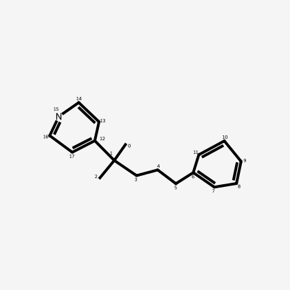 CC(C)(CCCc1ccccc1)c1ccncc1